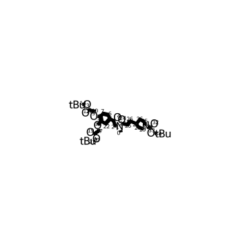 CN(CC(=O)c1ccc(OCC(=O)OC(C)(C)C)c(OCC(=O)OC(C)(C)C)c1)C(=O)/C=C/C1CCN(C(=O)OC(C)(C)C)CC1